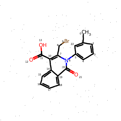 Cc1cccc(-n2c(CBr)c(C(=O)O)c3ccccc3c2=O)c1